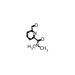 CN(C)C(=O)c1cccc(C=O)n1